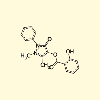 Cc1c(OC(=O)c2ccccc2O)c(=O)n(-c2ccccc2)n1C